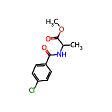 COC(=O)C(C)NC(=O)c1ccc(Cl)cc1